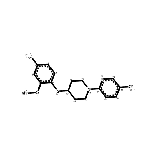 CCCOc1cc(C(F)(F)F)ccc1SC1CCN(c2ccc(C(F)(F)F)cn2)CC1